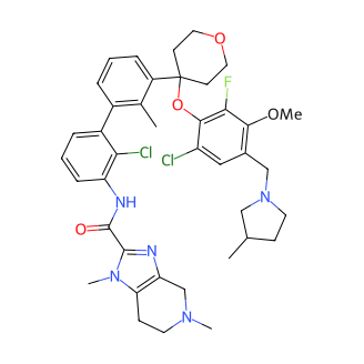 COc1c(CN2CCC(C)C2)cc(Cl)c(OC2(c3cccc(-c4cccc(NC(=O)c5nc6c(n5C)CCN(C)C6)c4Cl)c3C)CCOCC2)c1F